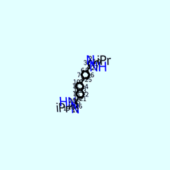 CC(C)c1ncc(-c2ccc(-c3ccc4cc(-c5cnc(C(C)C)[nH]5)ccc4c3)cc2)[nH]1